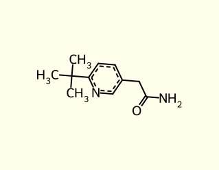 CC(C)(C)c1ccc(CC(N)=O)cn1